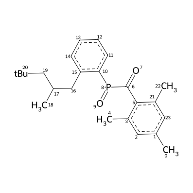 Cc1cc(C)c(C(=O)[P](=O)c2ccccc2CC(C)CC(C)(C)C)c(C)c1